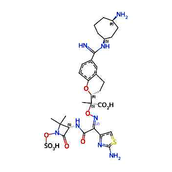 CC1(C)[C@H](NC(=O)/C(=N\O[C@](C)(C(=O)O)[C@H]2CCc3cc(C(=N)N[C@H]4CCC[C@@H](N)CC4)ccc3O2)c2csc(N)n2)C(=O)N1OS(=O)(=O)O